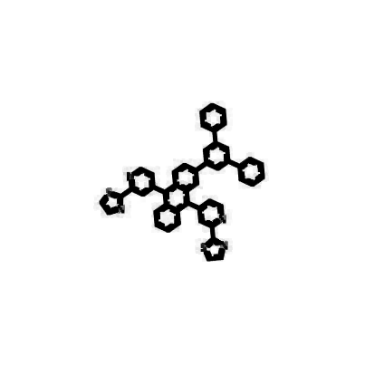 c1ccc(-c2cc(-c3ccccc3)cc(-c3ccc4c(-c5ccnc(-c6nccs6)c5)c5ccccc5c(-c5ccnc(-c6nccs6)c5)c4c3)c2)cc1